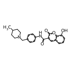 CC1CCN(Cc2ccc(NC(=O)c3cc4cccc(O)c4oc3=O)cc2)CC1